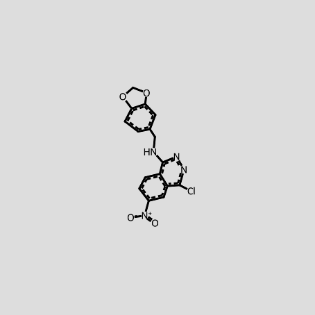 O=[N+]([O-])c1ccc2c(NCc3ccc4c(c3)OCO4)nnc(Cl)c2c1